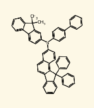 CC1(C)c2ccccc2-c2ccc(N(c3ccc(-c4ccccc4)cc3)c3ccc4c5c(ccc4c3)-c3ccccc3C5(c3ccccc3)c3ccccc3)cc21